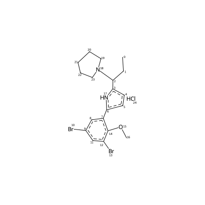 CCC(c1ccc(-c2cc(Br)cc(Br)c2OC)[nH]1)N1CCCCC1.Cl